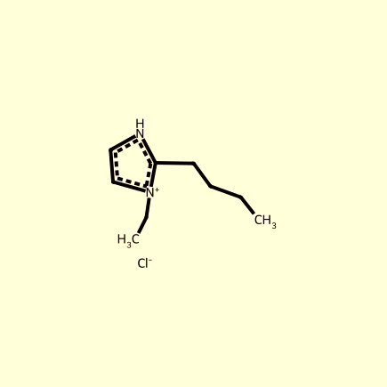 CCCCc1[nH]cc[n+]1CC.[Cl-]